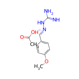 CC(=O)O.COc1ccc(/C=N/NC(=N)N)cc1